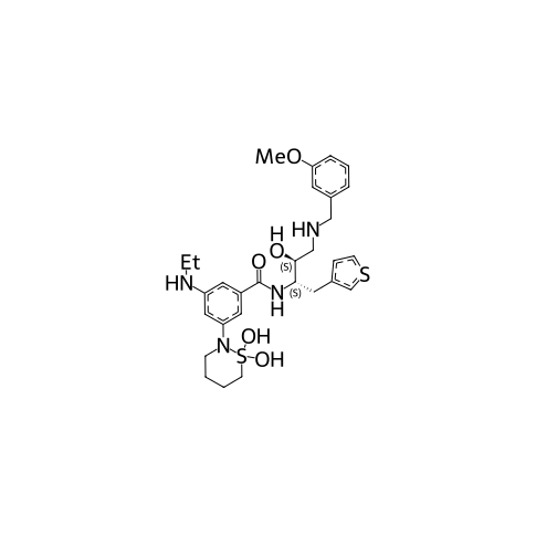 CCNc1cc(C(=O)N[C@@H](Cc2ccsc2)[C@@H](O)CNCc2cccc(OC)c2)cc(N2CCCCS2(O)O)c1